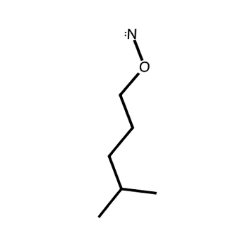 CC(C)CCCO[N]